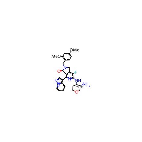 COc1ccc(CN2Cc3c(F)c(N[C@@H]4CCOC[C@@H]4N)nc(-c4cnn5ccccc45)c3C2=O)c(OC)c1